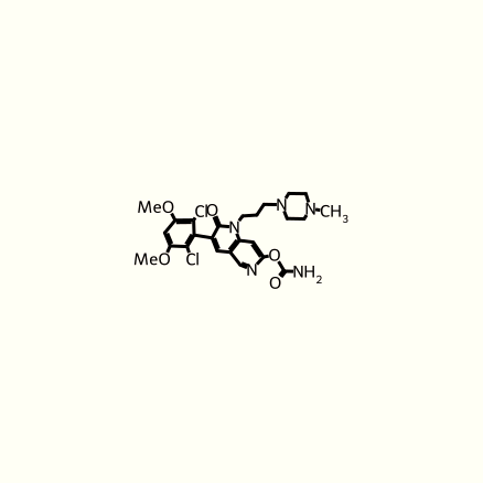 COc1cc(OC)c(Cl)c(-c2cc3cnc(OC(N)=O)cc3n(CCCN3CCN(C)CC3)c2=O)c1Cl